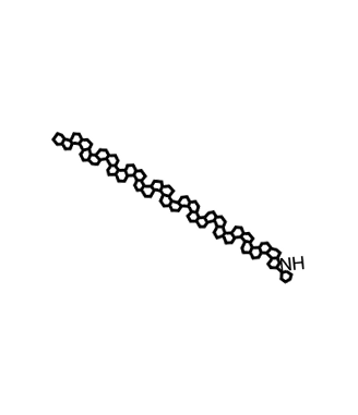 c1ccc2c(c1)ccc1c2ccc2ccc3c(ccc4ccc5c(ccc6ccc7c(ccc8ccc9c(ccc%10ccc%11c(ccc%12ccc%13c(ccc%14ccc%15c(ccc%16ccc%17c(ccc%18ccc%19c(ccc%20ccc%21c(ccc%22ccc%23c(ccc%24ccc%25c(ccc%26ccc%27c(ccc%28ccc%29c(ccc%30ccc%31c(ccc%32c%33ccccc%33[nH]c%32%31)c%30%29)c%28%27)c%26%25)c%24%23)c%22%21)c%20%19)c%18%17)c%16%15)c%14%13)c%12%11)c%109)c87)c65)c43)c21